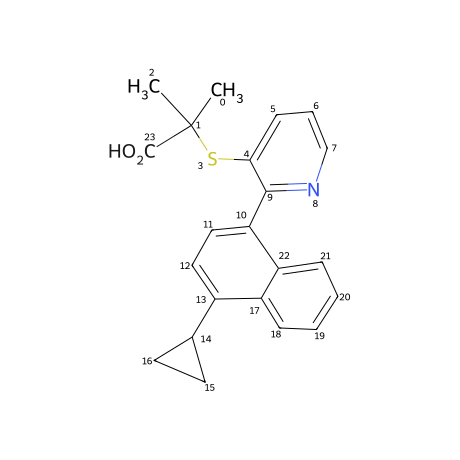 CC(C)(Sc1cccnc1-c1ccc(C2CC2)c2ccccc12)C(=O)O